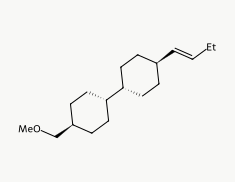 CCC=C[C@H]1CC[C@H]([C@H]2CC[C@H](COC)CC2)CC1